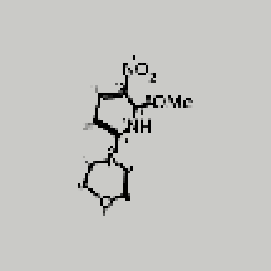 COC1NC(N2CCOCC2)=CC=C1[N+](=O)[O-]